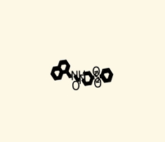 O=C(NCc1cccc2ccccc12)N1CCC(S(=O)(=O)c2ccccc2)CC1